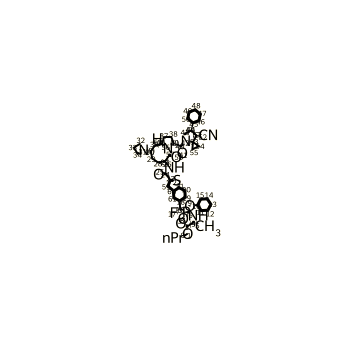 CCCOC(=O)[C@H](C)NP(=O)(Oc1ccccc1)[C@H](F)c1ccc2sc(C(=O)N[C@H]3CC[C@H](N4CCC4)C[C@H]4CC[C@@H](C(=O)N5C[C@@H](c6ccccc6)[C@H](C#N)C56CC6)N4C3=O)cc2c1